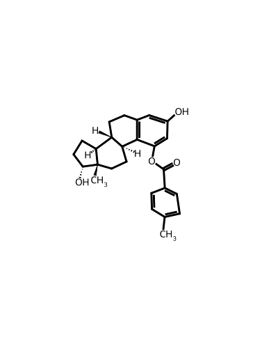 Cc1ccc(C(=O)Oc2cc(O)cc3c2[C@H]2CC[C@]4(C)[C@H](O)CC[C@H]4[C@@H]2CC3)cc1